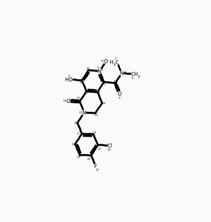 CN(C)C(=O)c1c2c(c(O)c[n+]1[O-])C(=O)N(Cc1ccc(F)c(Cl)c1)CC2